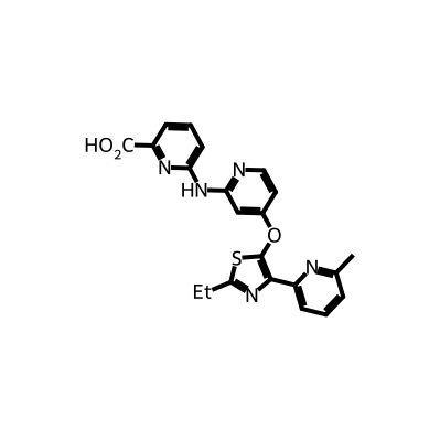 CCc1nc(-c2cccc(C)n2)c(Oc2ccnc(Nc3cccc(C(=O)O)n3)c2)s1